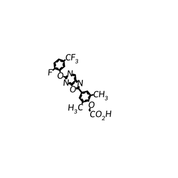 Cc1cc(-c2nc3cnc(Oc4cc(C(F)(F)F)ccc4F)nc3o2)cc(C)c1OCC(=O)O